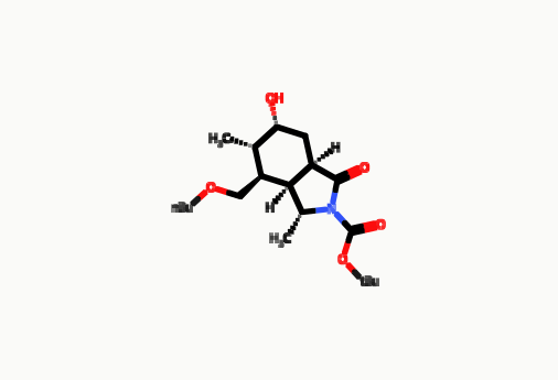 CCCCOC[C@H]1[C@H](C)[C@H](O)C[C@H]2C(=O)N(C(=O)OC(C)(C)C)[C@H](C)[C@@H]12